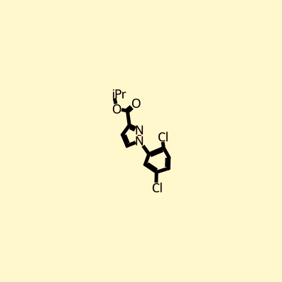 CC(C)OC(=O)c1ccn(-c2cc(Cl)ccc2Cl)n1